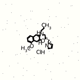 CCCN1C[C@H](Cn2cccn2)O[C@@H]2Cc3c(cccc3OC)C[C@H]21.Cl